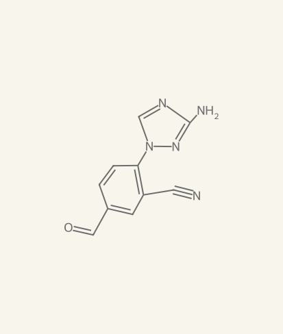 N#Cc1cc(C=O)ccc1-n1cnc(N)n1